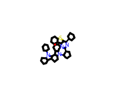 c1ccc(-c2nc(-c3ccccc3-n3c4ccccc4c4c3ccc3c5ccccc5n(-c5ccccc5)c34)nc3c2sc2ccccc23)cc1